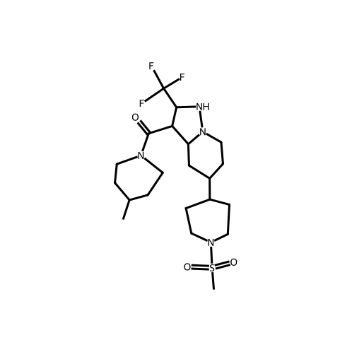 CC1CCN(C(=O)C2C3CC(C4CCN(S(C)(=O)=O)CC4)CCN3NC2C(F)(F)F)CC1